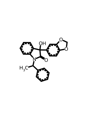 CC(c1ccccc1)N1C(=O)C(O)(c2ccc3c(c2)OCO3)c2ccccc21